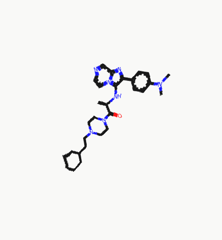 CC(Nc1c(-c2ccc(N(C)C)cc2)nc2cnccn12)C(=O)N1CCN(CCC2CCCCC2)CC1